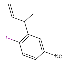 C=C[C](C)c1cc([N+](=O)[O-])ccc1I